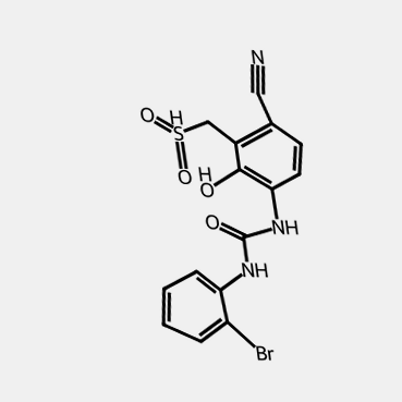 N#Cc1ccc(NC(=O)Nc2ccccc2Br)c(O)c1C[SH](=O)=O